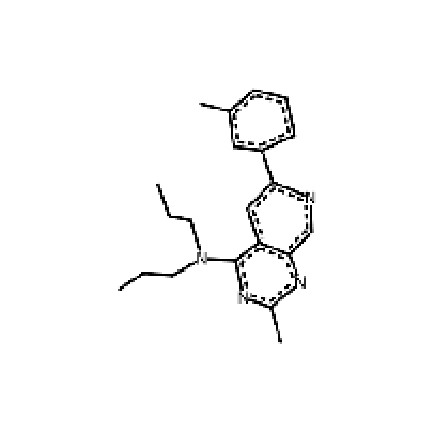 CCCN(CCC)c1nc(C)nc2cnc(-c3cccc(C)c3)cc12